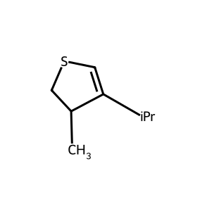 CC(C)C1=CSCC1C